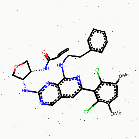 C=CC(=O)N[C@H]1COC[C@H]1Nc1ncc2cc(-c3c(Cl)c(OC)cc(OC)c3Cl)nc(NCCc3ccccc3)c2n1